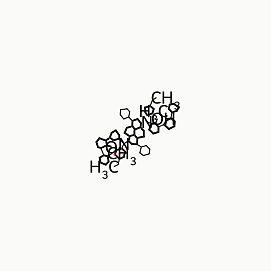 CCc1ccc(N(c2cccc(-c3cccc(-c4ccccc4C)c3)c2O)c2cc(C3CCCCC3)c3ccc4c(N(c5ccc(CC)cc5)c5cccc6c5oc5c(-c7ccccc7C)cccc56)cc(C5CCCCC5)c5ccc2c3c54)cc1